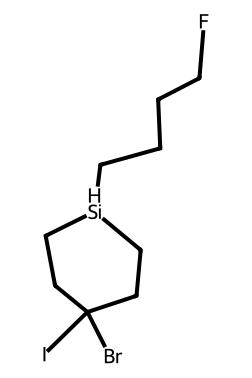 FCCCC[SiH]1CCC(Br)(I)CC1